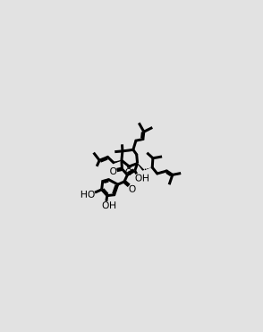 CC(C)=CCC1C[C@@]2(C[C@@H](CC=C(C)C)C(C)C)C(=O)[C@](CC=C(C)C)(C(=O)C(C(=O)c3ccc(O)c(O)c3)=C2O)C1(C)C